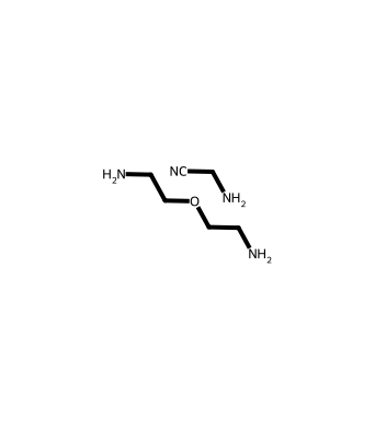 N#CCN.NCCOCCN